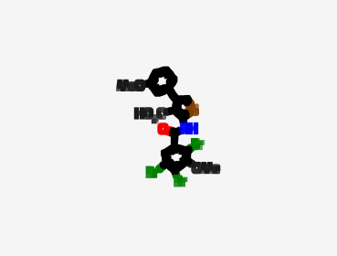 COc1cccc(-c2csc(NC(=O)c3cc(Br)c(Br)c(OC)c3Br)c2C(=O)O)c1